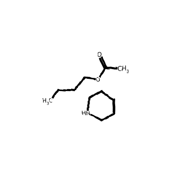 C1CCNCC1.CCCCOC(C)=O